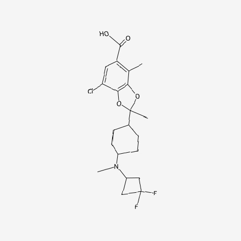 Cc1c(C(=O)O)cc(Cl)c2c1OC(C)(C1CCC(N(C)C3CC(F)(F)C3)CC1)O2